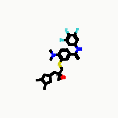 C=C(NC1C=C(F)C(F)=C(F)C1)c1ccc(N(C)C)c(SC[C@]2(CC3CC(C)C(C)C3)CO2)c1